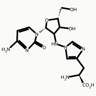 Nc1ccn([C@@H]2O[C@H](CO)C(O)C2Nn2cnc(C[C@H](N)C(=O)O)c2)c(=O)n1